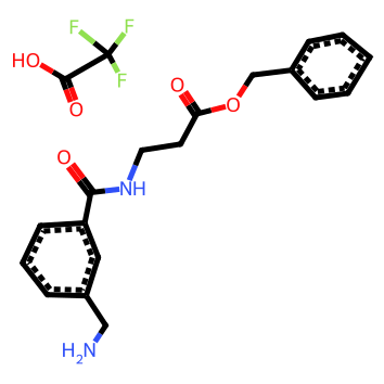 NCc1cccc(C(=O)NCCC(=O)OCc2ccccc2)c1.O=C(O)C(F)(F)F